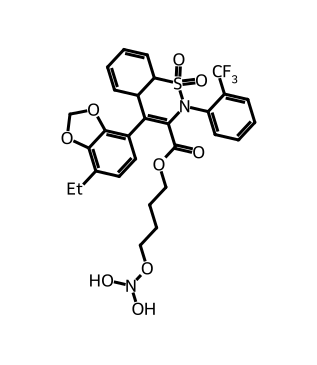 CCc1ccc(C2=C(C(=O)OCCCCON(O)O)N(c3ccccc3C(F)(F)F)S(=O)(=O)C3C=CC=CC23)c2c1OCO2